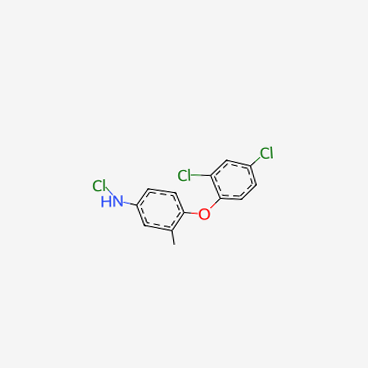 Cc1cc(NCl)ccc1Oc1ccc(Cl)cc1Cl